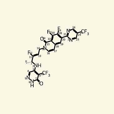 C[C@@H](Nc1cn[nH]c(=O)c1C(F)(F)F)/C(F)=C/Cn1ccc2cc(-c3ncc(C(F)(F)F)cn3)c(F)c(F)c2c1=O